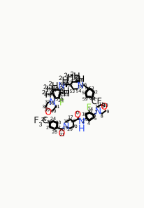 O=C(Nc1ccc(N2CCOCC2)c(F)c1)C1CCN(C(=O)c2ccc(C(F)(F)F)cc2)CC1.[2H]C1=C(F)C(N2CCOCC2)=C([2H])C([2H])([2H])C1=NC([2H])([2H])C1CCN(Cc2ccc(C(F)(F)F)cc2)C([2H])([2H])C1[2H]